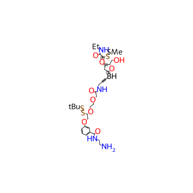 CCNC(=O)[C@H](O[C@@H]1C[C@H](BC#CCNC(=O)COCCOC(COc2cccc(C(=O)NCCN)c2)SSC(C)(C)C)OC1CO)SSC